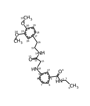 CCNC(=O)c1cccc(NCC(=O)NCCc2ccc(OC)c(OC)c2)c1